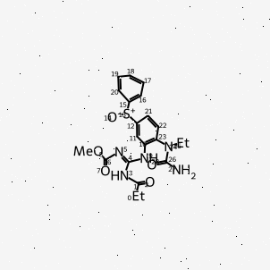 CCC(=O)NC(=NC(=O)OC)Nc1cc([S+]([O-])c2ccccc2)ccc1N(CC)C(N)=O